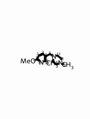 COc1ccc(CN2CCN(C)CC2)c(C)n1